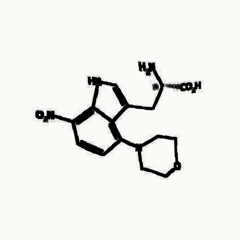 N[C@@H](Cc1c[nH]c2c([N+](=O)[O-])ccc(N3CCOCC3)c12)C(=O)O